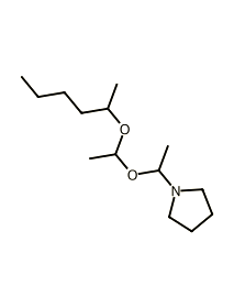 CCCCC(C)OC(C)OC(C)N1CCCC1